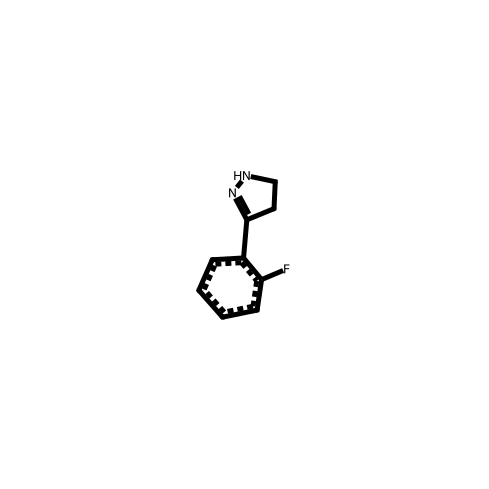 Fc1ccccc1C1=NNCC1